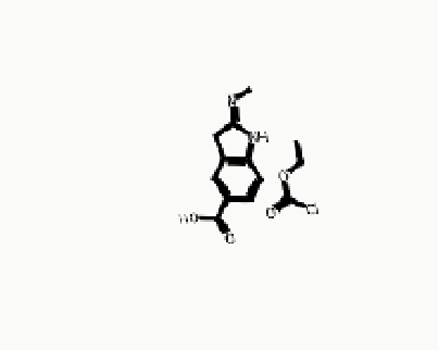 CCOC(=O)Cl.CN=C1Cc2cc(C(=O)O)ccc2N1